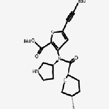 COC(=O)c1sc(C#CC(C)(C)C)cc1N(C(=O)[C@H]1CC[C@H](C)CC1)[C@H]1CCNC1